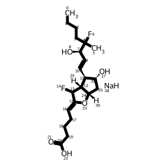 CCCCC(C)(F)[C@H](O)/C=C/[C@@H]1[C@H]2C(F)/C(=C/CCCC(=O)O)O[C@H]2C[C@H]1O.[NaH]